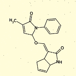 CC1=CC(O/C=C2/C(=O)NC3C=CCC23)N(c2ccccc2)C1=O